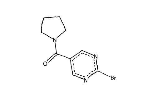 O=C(c1cnc(Br)nc1)N1CCCC1